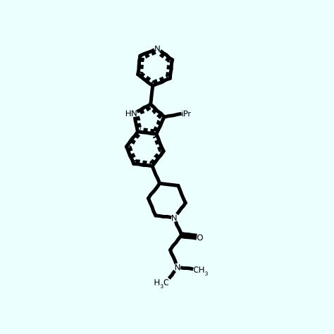 CC(C)c1c(-c2ccncc2)[nH]c2ccc(C3CCN(C(=O)CN(C)C)CC3)cc12